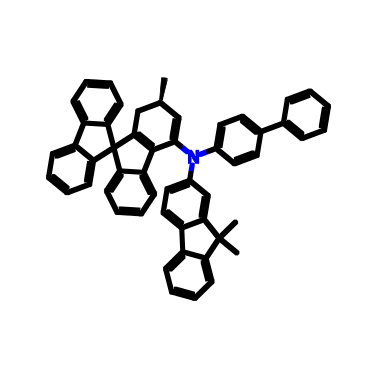 C[C@H]1C=C(N(c2ccc(-c3ccccc3)cc2)c2ccc3c(c2)C(C)(C)c2ccccc2-3)C2=C(C1)C1(c3ccccc32)c2ccccc2-c2ccccc21